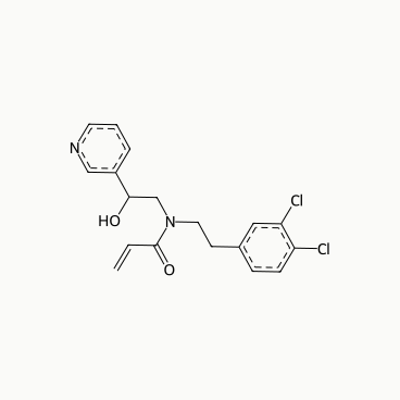 C=CC(=O)N(CCc1ccc(Cl)c(Cl)c1)CC(O)c1cccnc1